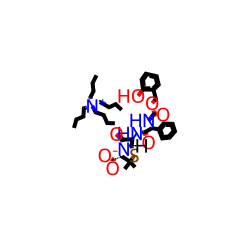 CC1(C)S[C@@H]2[C@H](NC(=O)C(NC(=O)OCc3ccccc3O)c3ccccc3)C(=O)N2[C@H]1C(=O)[O-].CCCC[N+](CCCC)(CCCC)CCCC